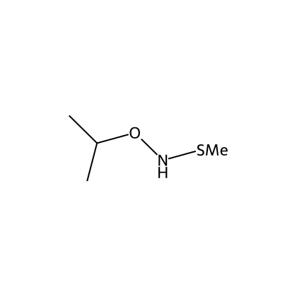 CSNOC(C)C